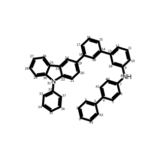 c1ccc(-c2ccc(Nc3cccc(-c4cccc(-c5ccc6c(c5)c5ccccc5n6-c5ccccc5)c4)c3)cc2)cc1